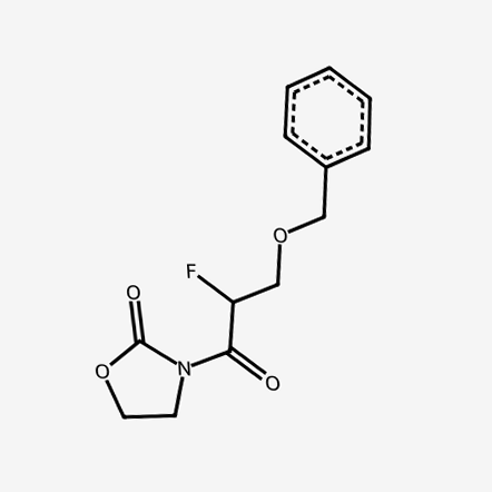 O=C1OCCN1C(=O)C(F)COCc1ccccc1